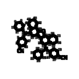 N#Cc1ccc(N(c2ccccc2)c2cc3c4cc(N(c5ccccc5)c5ccc(C#N)cc5)c5ccccc5c4oc3c3ccccc23)cc1